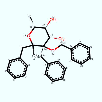 COC1(Cc2ccccc2)O[C@H](C)[C@H](O)[C@H](O)[C@@]1(Cc1ccccc1)OCc1ccccc1